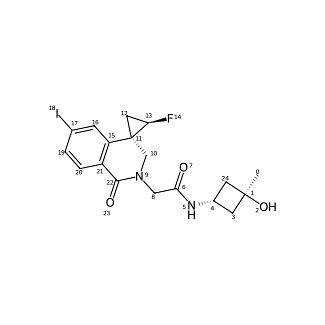 C[C@]1(O)C[C@H](NC(=O)CN2C[C@@]3(C[C@H]3F)c3cc(I)ccc3C2=O)C1